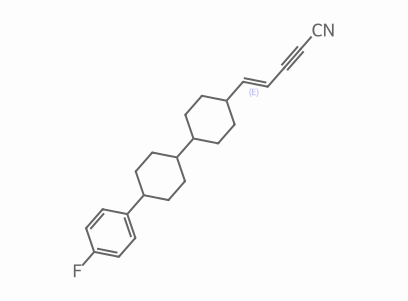 N#CC#C/C=C/C1CCC(C2CCC(c3ccc(F)cc3)CC2)CC1